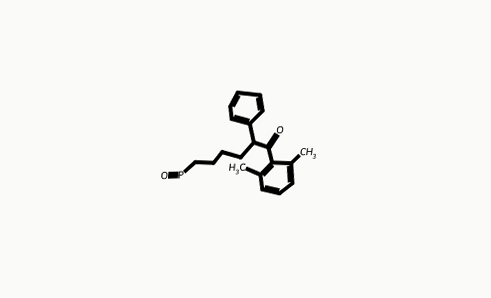 Cc1cccc(C)c1C(=O)C(CCCCP=O)c1ccccc1